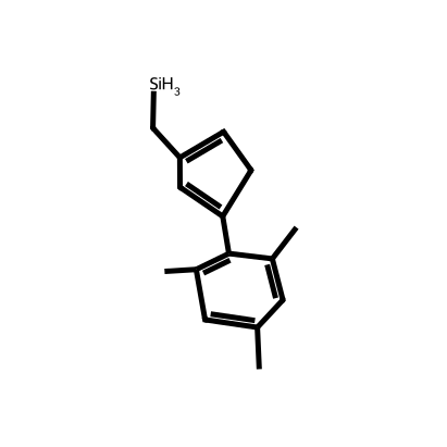 Cc1cc(C)c(C2=CC(C[SiH3])=CC2)c(C)c1